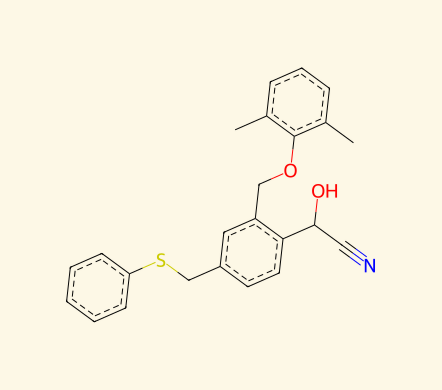 Cc1cccc(C)c1OCc1cc(CSc2ccccc2)ccc1C(O)C#N